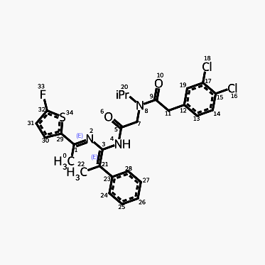 C/C(=N\C(NC(=O)CN(C(=O)Cc1ccc(Cl)c(Cl)c1)C(C)C)=C(/C)c1ccccc1)c1ccc(F)s1